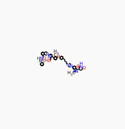 Cc1c(Oc2ccc(CCCCN3CCN(c4ccc5c(C6CCC(=O)NC6=O)nn(C)c5c4)CC3)cc2)cccc1-c1ccc(N2CCc3cccc(C(=O)Nc4nc5ccccc5s4)c3C2)nc1CO